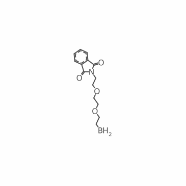 BCCOCCOCCN1C(=O)c2ccccc2C1=O